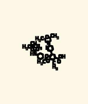 Cc1c(C(=O)O)cc(-c2ccc(N3C[C@@H](C)O[C@@H](C)C3)nc2)c2c1OC(C)([C@H]1CC[C@H](NC(=O)OC(C)(C)C)CC1)O2